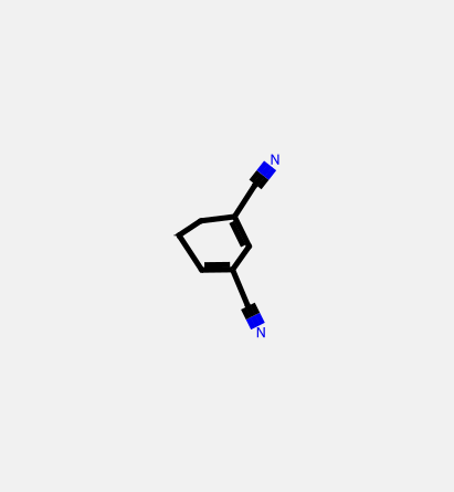 N#CC1=C[CH]CC(C#N)=C1